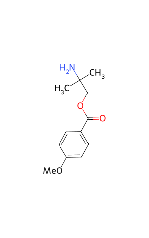 COc1ccc(C(=O)OCC(C)(C)N)cc1